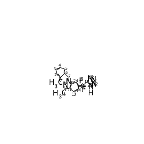 Cc1ccccc1Cn1nc(C)c2ccc(C(F)(F)c3nnn[nH]3)cc21